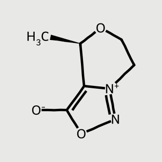 C[C@H]1OCC[n+]2noc([O-])c21